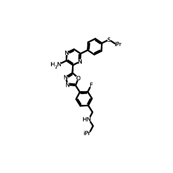 CC(C)CNCc1ccc(-c2nnc(-c3nc(-c4ccc(SC(C)C)cc4)cnc3N)o2)c(F)c1